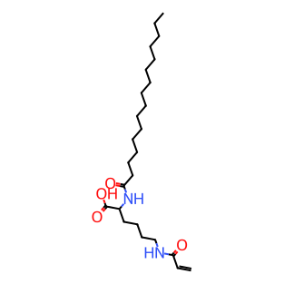 C=CC(=O)NCCCCC(NC(=O)CCCCCCCCCCCCCCC)C(=O)O